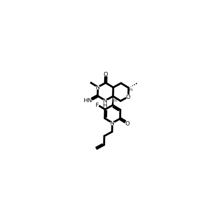 C=CCCn1cc(F)c([C@]23CO[C@@H](C)CC2C(=O)N(C)C(=N)N3)cc1=O